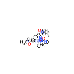 CN(C)C(=O)c1ccc2c(c1)CCc1cc(C(=O)N(C)C)ccc1C2(C[C@@H](NCC(=O)N1CCC[C@H]1C#N)C1CCCCC1)c1nnn[nH]1